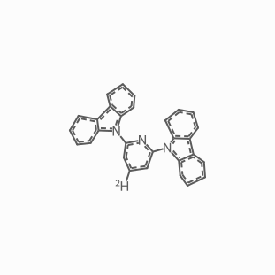 [2H]c1cc(-n2c3ccccc3c3ccccc32)nc(-n2c3ccccc3c3ccccc32)c1